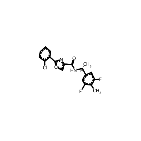 Cc1c(F)cc([C@@H](C)NC(=O)c2coc(-c3ccccc3Cl)n2)cc1F